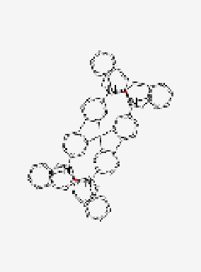 C1=CC(N(c2ccccc2)c2ccc3c(c2)C2(c4cc(N(C5=CCCC=C5)c5ccccc5)ccc4-c4ccc(N(c5ccccc5)c5ccccc5)cc42)c2cc(N(c4ccccc4)c4ccccc4)ccc2-3)=CCC1